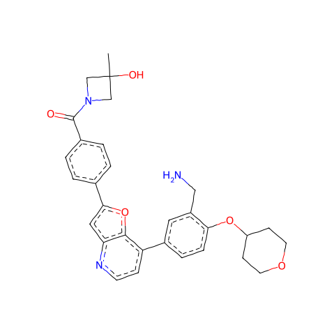 CC1(O)CN(C(=O)c2ccc(-c3cc4nccc(-c5ccc(OC6CCOCC6)c(CN)c5)c4o3)cc2)C1